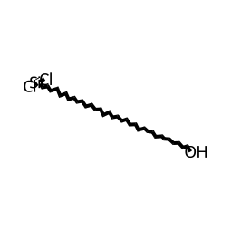 C[Si](Cl)(Cl)CCCCCCCCCCCCCCCCCCCCCCCCCCCCCCCCCCO